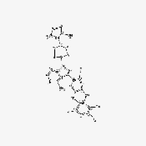 Nc1ncnc2c1c(-c1ccc(Oc3c(F)c(F)cc(F)c3F)cc1F)nn2C1CCC(N2C(=O)C=CC2O)CC1